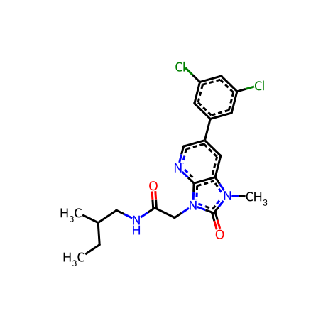 CCC(C)CNC(=O)Cn1c(=O)n(C)c2cc(-c3cc(Cl)cc(Cl)c3)cnc21